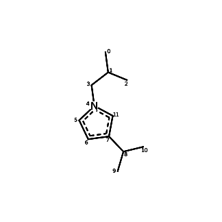 CC(C)Cn1ccc(C(C)C)c1